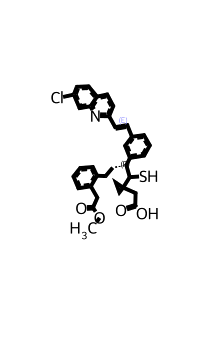 COC(=O)Cc1ccccc1CC[C@H](c1cccc(/C=C/c2ccc3ccc(Cl)cc3n2)c1)C(S)C1(CC(=O)O)CC1